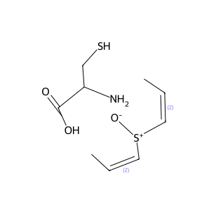 C/C=C\[S+]([O-])/C=C\C.NC(CS)C(=O)O